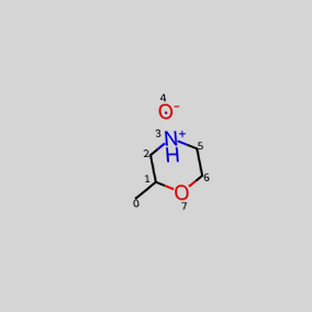 CC1C[NH+]([O-])CCO1